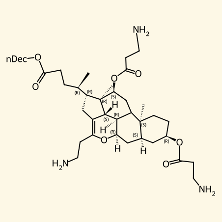 CCCCCCCCCCOC(=O)CC[C@@H](C)[C@H]1CC2=C(CCN)O[C@@H]3C[C@@H]4C[C@H](OC(=O)CCN)CC[C@]4(C)C4C[C@H](OC(=O)CCN)[C@@]1(C)[C@@H]2[C@@H]43